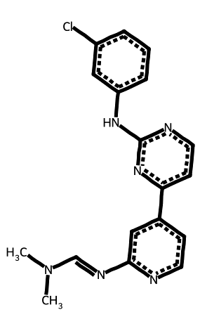 CN(C)C=Nc1cc(-c2ccnc(Nc3cccc(Cl)c3)n2)ccn1